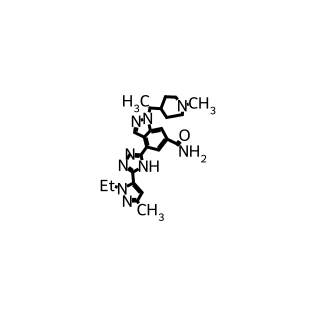 CCn1nc(C)cc1-c1nnc(-c2cc(C(N)=O)cc3c2cnn3[C@H](C)C2CCN(C)CC2)[nH]1